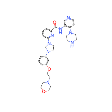 O=C(Nc1cnccc1N1CCNCC1)c1cccc(N2CCN(c3cccc(OCCN4CCOCC4)c3)C2)n1